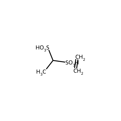 C=C.CC(S(=O)(=O)O)S(=O)(=O)O